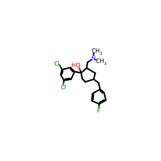 CN(C)CC1CC(Cc2ccc(F)cc2)CCC1(O)c1cc(Cl)cc(Cl)c1